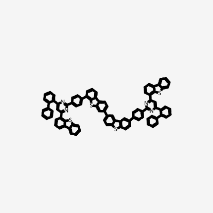 c1ccc(-c2ccccc2-c2cc(-c3cccc4c3sc3ccccc34)nc(-c3ccc(-c4ccc5sc6ccc(-c7ccc8c(c7)sc7c(-c9ccc(-c%10nc(-c%11ccccc%11-c%11ccccc%11)cc(-c%11cccc%12c%11sc%11ccccc%11%12)n%10)cc9)cccc78)cc6c5c4)cc3)n2)cc1